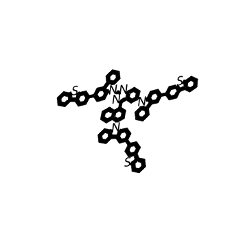 c1ccc2c(c1)sc1cc(-c3ccc4c(c3)c3ccccc3n4-c3ccc4nc(-n5c6ccccc6c6cc(-c7ccc8c(c7)sc7ccccc78)ccc65)nc(-c5ccc(-n6c7ccccc7c7cc(-c8ccc9c(c8)sc8ccccc89)ccc76)c6ccccc56)c4c3)ccc12